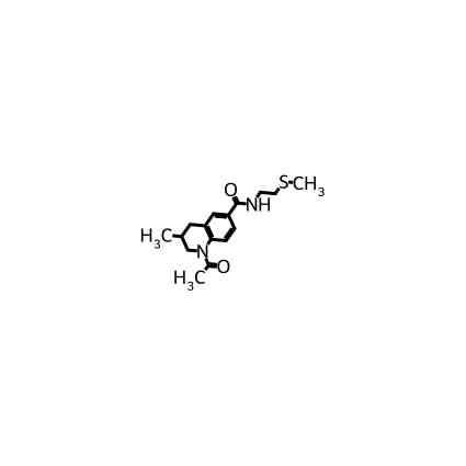 CSCCNC(=O)c1ccc2c(c1)CC(C)CN2C(C)=O